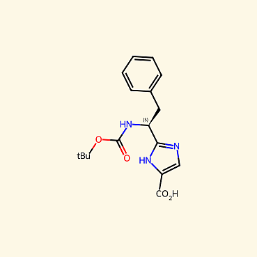 CC(C)(C)OC(=O)N[C@@H](Cc1ccccc1)c1ncc(C(=O)O)[nH]1